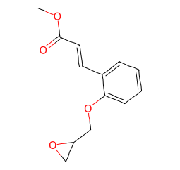 COC(=O)/C=C/c1ccccc1OCC1CO1